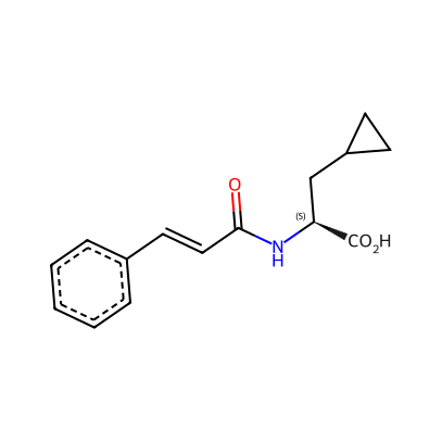 O=C(C=Cc1ccccc1)N[C@@H](CC1CC1)C(=O)O